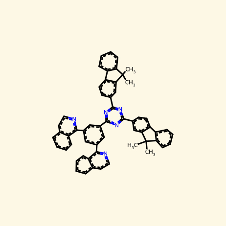 CC1(C)c2ccccc2-c2ccc(-c3nc(-c4cc(-c5nccc6ccccc56)cc(-c5nccc6ccccc56)c4)nc(-c4ccc5c(c4)C(C)(C)c4ccccc4-5)n3)cc21